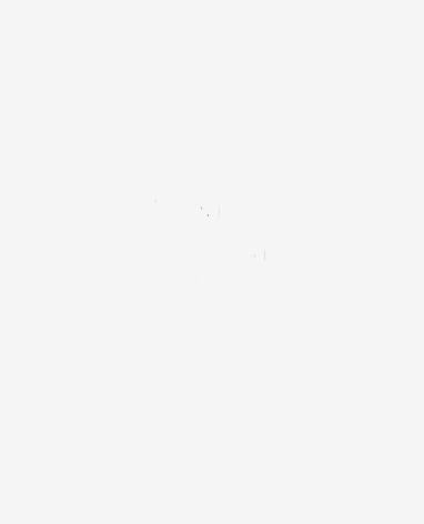 CC(=O)NC(C)C(=O)Cl